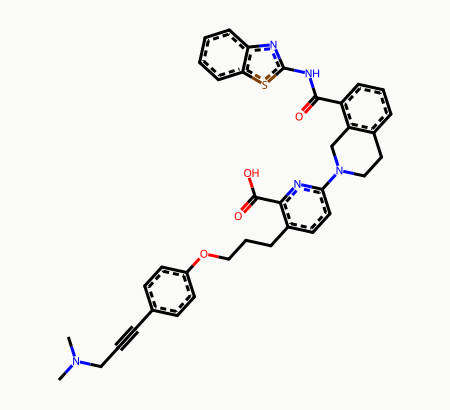 CN(C)CC#Cc1ccc(OCCCc2ccc(N3CCc4cccc(C(=O)Nc5nc6ccccc6s5)c4C3)nc2C(=O)O)cc1